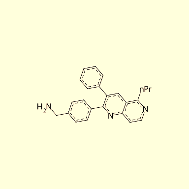 CCCc1nccc2nc(-c3ccc(CN)cc3)c(-c3ccccc3)cc12